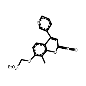 CCOC(=O)COc1ccc2c(c1C)OC(=C=O)C=C2c1cccnc1